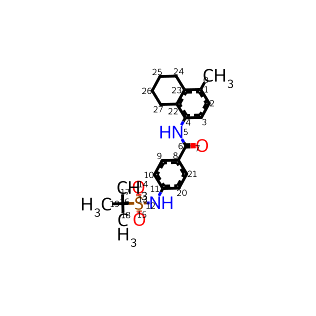 Cc1ccc(NC(=O)c2ccc(NS(=O)(=O)C(C)(C)C)cc2)c2c1CCCC2